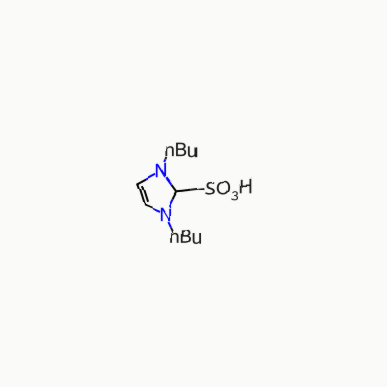 CCCCN1C=CN(CCCC)C1S(=O)(=O)O